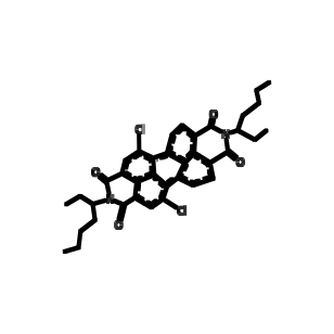 CCCCC(CC)N1C(=O)c2ccc3c4c(Cl)cc5c6c(cc(Cl)c(c7ccc(c2c37)C1=O)c64)C(=O)N(C(CC)CCCC)C5=O